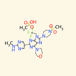 CNc1ncc(-c2nc(N3CCOCC3)c3nc(N4CCN(S(C)(=O)=O)CC4)n(CC(F)(F)F)c3n2)cn1.CS(=O)(=O)O